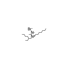 CCCCCCCC[N+](CC(CC)CCCC)=C(C)N(C)C.[Br-]